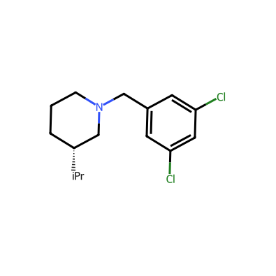 CC(C)[C@@H]1CCCN(Cc2cc(Cl)cc(Cl)c2)C1